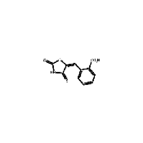 O=C1NC(=S)/C(=C\c2ccccc2C(=O)O)S1